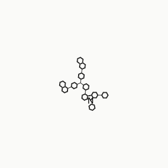 c1ccc(-c2ccc3c4c(-c5cccc(C(c6ccc(-c7ccc8ccccc8c7)cc6)c6ccc(-c7cccc8ccccc78)cc6)c5)cccc4n(-c4ccccc4)c3c2)cc1